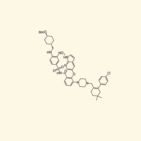 CO[C@H]1CC[C@@H](CNc2ccc(S(=O)(=O)NC(=O)c3cccc(N4CCN(CC5=C(c6ccc(Cl)cc6)CC(C)(C)CC5)CC4)c3Oc3cnc4[nH]ccc4c3)cc2[N+](=O)[O-])CC1